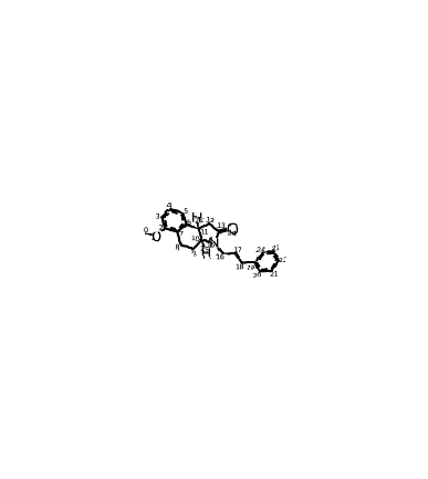 COc1cccc2c1CC[C@@H]1[C@H]2CC(=O)N1CCCc1ccccc1